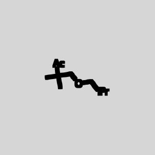 CC(=O)C(C)(C)COCC(C)C